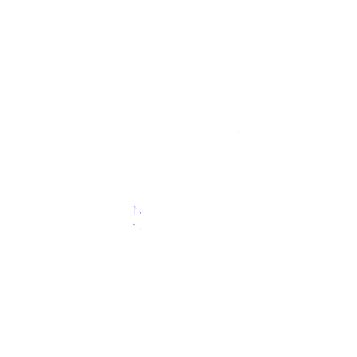 CC(=O)N1Cc2ccc(OCc3ccccc3)cc2C=Cc2ccccc21